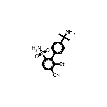 CCc1c(C#N)ccc(S(N)(=O)=O)c1-c1ccc(C(C)(C)N)cc1